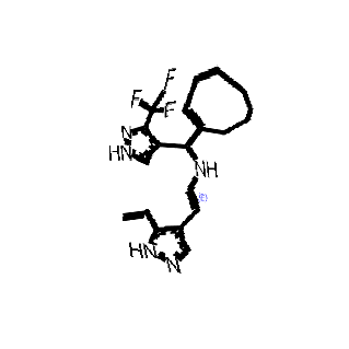 C=Cc1[nH]ncc1/C=C/NC(C1=CCCCCC1)c1c[nH]nc1C(F)(F)F